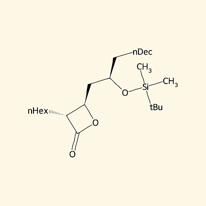 CCCCCCCCCCC[C@H](C[C@H]1OC(=O)[C@@H]1CCCCCC)O[Si](C)(C)C(C)(C)C